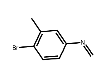 C=Nc1ccc(Br)c(C)c1